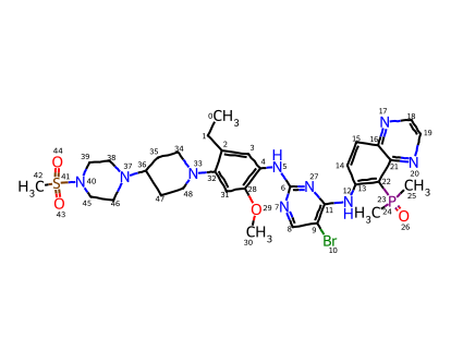 CCc1cc(Nc2ncc(Br)c(Nc3ccc4nccnc4c3P(C)(C)=O)n2)c(OC)cc1N1CCC(N2CCN(S(C)(=O)=O)CC2)CC1